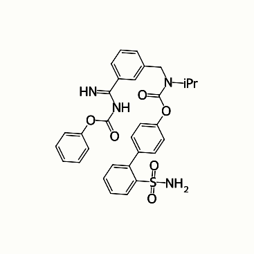 CC(C)N(Cc1cccc(C(=N)NC(=O)Oc2ccccc2)c1)C(=O)Oc1ccc(-c2ccccc2S(N)(=O)=O)cc1